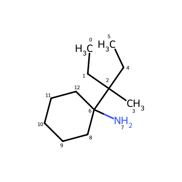 CCC(C)(CC)C1(N)CCCCC1